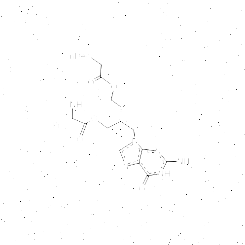 CCCCCCCCCCCC(=O)OCC[C@@H](COC(=O)[C@@H](N)C(C)C)Cn1cnc2c(=O)[nH]c(N)nc21